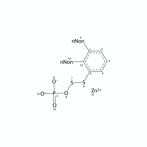 CCCCCCCCCc1cccc(SSOP(=O)([O-])[O-])c1CCCCCCCCC.[Zn+2]